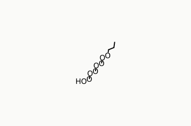 CCCOOOOOOOO